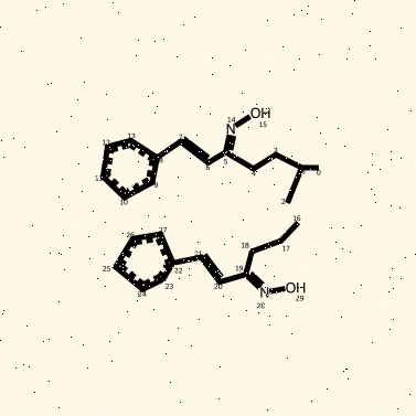 CC(C)CCC(/C=C/c1ccccc1)=NO.CCCC(/C=C/c1ccccc1)=N\O